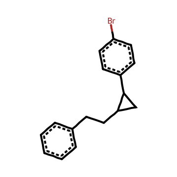 Brc1ccc(C2CC2CCc2ccccc2)cc1